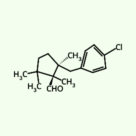 CC1(C)CC[C@@](C)(Cc2ccc(Cl)cc2)[C@@]1(C)C=O